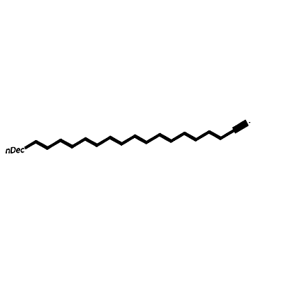 [C]#CCCCCCCCCCCCCCCCCCCCCCCCCCC